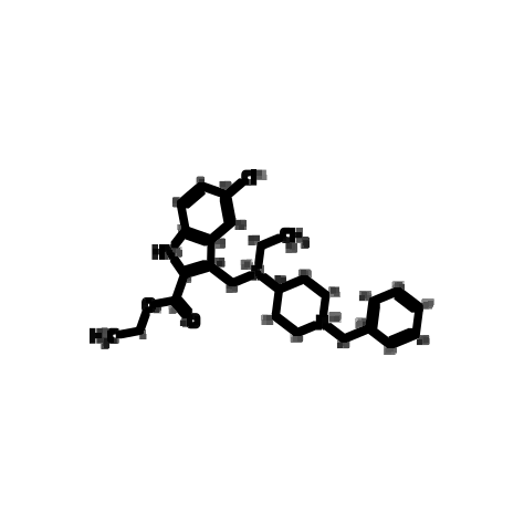 CCOC(=O)c1[nH]c2ccc(Cl)cc2c1CN(CC)C1CCN(Cc2ccccc2)CC1